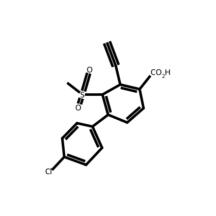 C#Cc1c(C(=O)O)ccc(-c2ccc(Cl)cc2)c1S(C)(=O)=O